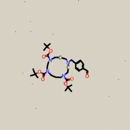 CC(C)(C)OC(=O)N1CCCN(C(=O)OC(C)(C)C)CCN(C(=O)OC(C)(C)C)CCCN(Cc2ccc(C=O)cc2)CC1